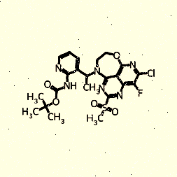 CC(c1cccnc1NC(=O)OC(C)(C)C)N1CCOc2nc(Cl)c(F)c3nc(S(C)(=O)=O)nc1c23